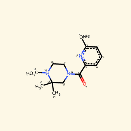 COc1cccc(C(=O)N2CCN(C(=O)O)C(C)(C)C2)n1